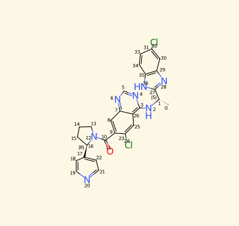 C[C@H](Nc1ncnc2cc(C(=O)N3CCC[C@@H]3c3ccncc3)c(Cl)cc12)c1nc2cc(Cl)ccc2[nH]1